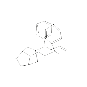 C=CCN(c1ncccn1)C1CC2CCC(C1)N2CCC(C)c1ccccc1